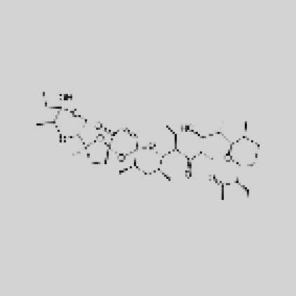 CC[C@@H](C(=O)[C@@H](C)[C@@H](O)[C@H](C)[C@@H]1O[C@@H]([C@@H](CC)C(C)=O)CC[C@@H]1C)[C@H]1O[C@]2(C=CC(=O)[C@]3(CC[C@@](C)([C@H]4CC[C@](O)(CC)[C@H](C)O4)O3)O2)[C@H](C)C[C@@H]1C